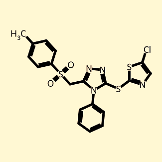 Cc1ccc(S(=O)(=O)Cc2nnc(Sc3ncc(Cl)s3)n2-c2ccccc2)cc1